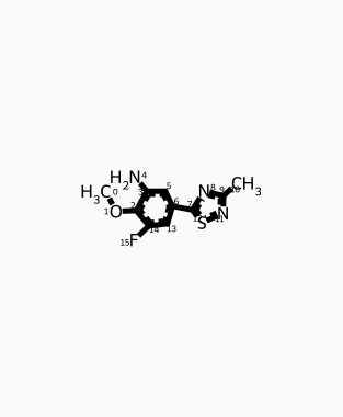 COc1c(N)cc(-c2nc(C)ns2)cc1F